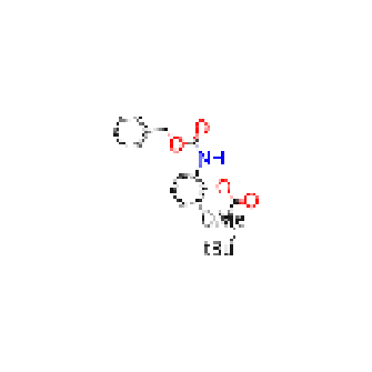 COc1cccc(NC(=O)OCc2ccccc2)c1OC(=O)CCC(C)(C)C